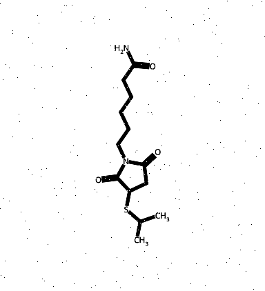 CC(C)SC1CC(=O)N(CCCCCC(N)=O)C1=O